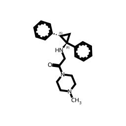 CN1CCN(C(=O)CN[C@]2(c3ccccc3)C[C@H]2c2ccccc2)CC1